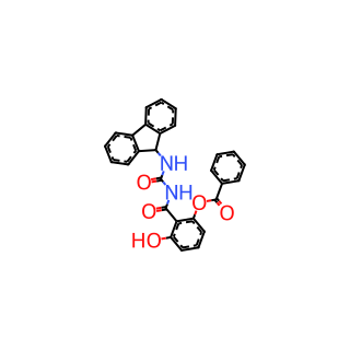 O=C(NC(=O)c1c(O)cccc1OC(=O)c1ccccc1)NC1c2ccccc2-c2ccccc21